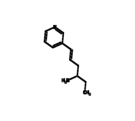 CCC(N)CC=Cc1cccnc1